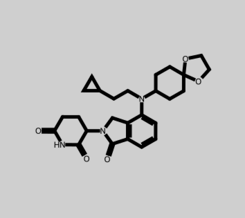 O=C1CCC(N2Cc3c(cccc3N(CCC3CC3)C3CCC4(CC3)OCCO4)C2=O)C(=O)N1